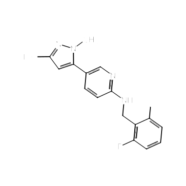 Cn1nc(C(F)(F)F)cc1-c1ccc(NCc2c(F)cccc2F)nc1